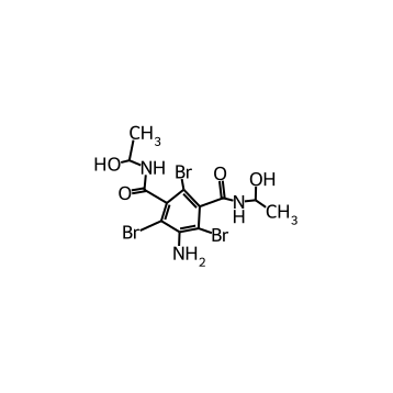 CC(O)NC(=O)c1c(Br)c(N)c(Br)c(C(=O)NC(C)O)c1Br